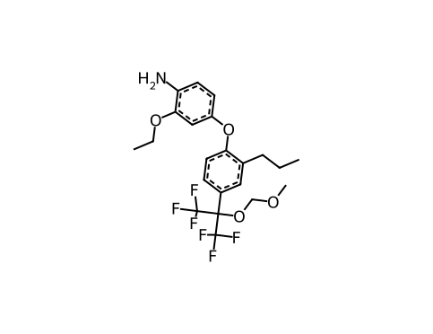 CCCc1cc(C(OCOC)(C(F)(F)F)C(F)(F)F)ccc1Oc1ccc(N)c(OCC)c1